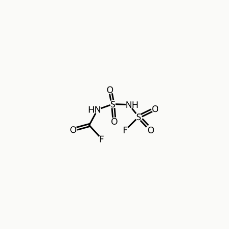 O=C(F)NS(=O)(=O)NS(=O)(=O)F